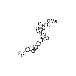 COC(=O)CNC(=O)[C@@H]1CN(C2=NC(=O)/C(=C/c3ccc4c(cnn4Cc4ccc(C(F)(F)F)cc4C(F)(F)F)c3)S2)CCO1